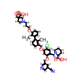 Cc1c(COc2cc(OCc3cncc(C#N)c3)c(CN3CCCC[C@H]3C(=O)O)cc2Cl)cccc1-c1cccc(OCCCN2CCC(CO)(C(=O)O)C2)c1C